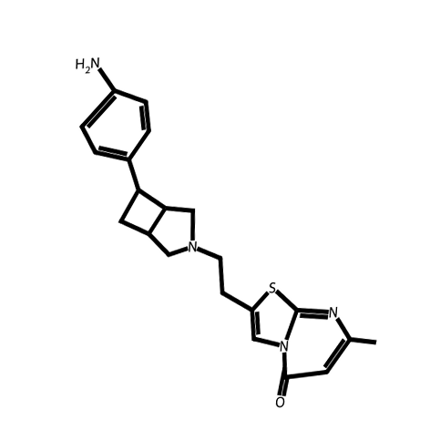 Cc1cc(=O)n2cc(CCN3CC4CC(c5ccc(N)cc5)C4C3)sc2n1